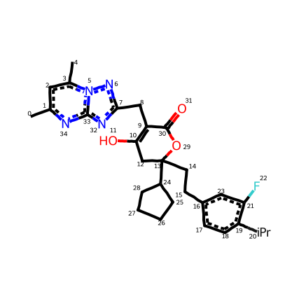 Cc1cc(C)n2nc(CC3=C(O)CC(CCc4ccc(C(C)C)c(F)c4)(C4CCCC4)OC3=O)nc2n1